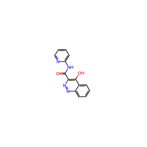 O=C(Nc1ccccn1)c1nnc2ccccc2c1O